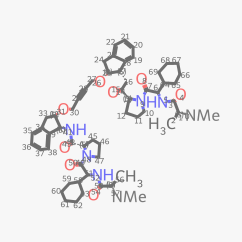 CN[C@@H](C)C(=O)NC(C(=O)N1CCC[C@H]1C(=O)C[C@H]1c2ccccc2C[C@H]1OCC#CCO[C@@H]1Cc2ccccc2[C@@H]1NC(=O)[C@@H]1CCCN1C(=O)C(NC(=O)[C@H](C)NC)C1CCCCC1)C1CCCCC1